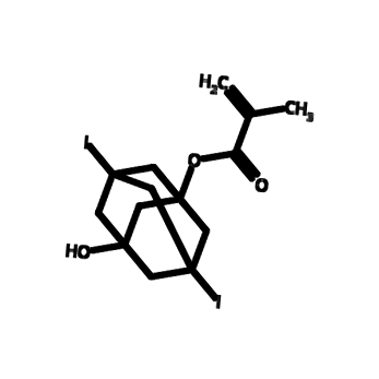 C=C(C)C(=O)OC12CC3(O)CC(I)(CC(I)(C3)C1)C2